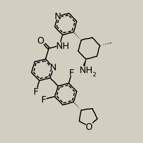 C[C@@H]1C[C@@H](N)C[C@H](c2ccncc2NC(=O)c2ccc(F)c(-c3c(F)cc([C@@H]4CCOC4)cc3F)n2)C1